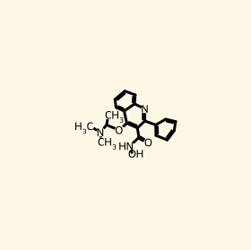 CC(Oc1c(C(=O)NO)c(-c2ccccc2)nc2ccccc12)N(C)C